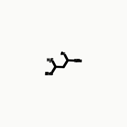 CNC(CC(C)OC)C(C)=O